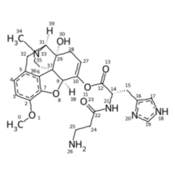 COc1ccc2c3c1O[C@@H]1C(OC(=O)[C@H](Cc4c[nH]cn4)NC(=O)CCN)=CC[C@]4(O)[C@H](C2)N(C)CC[C@@]314